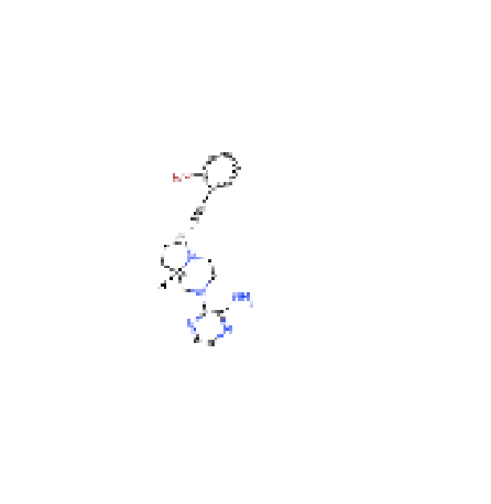 Nc1nccnc1N1CCN2[C@@H](CC[C@@H]2C#Cc2ccccc2Br)C1